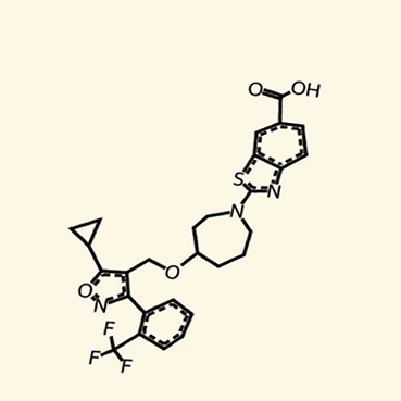 O=C(O)c1ccc2nc(N3CCCC(OCc4c(-c5ccccc5C(F)(F)F)noc4C4CC4)CC3)sc2c1